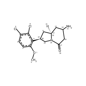 COc1ccc(Cl)c(Cl)c1[C@H]1C[C@H]2CC(N)CC(=O)N2C1